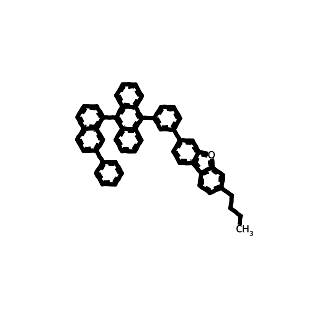 CCCCc1ccc2c(c1)oc1cc(-c3cccc(-c4c5ccccc5c(-c5cccc6ccc(-c7ccccc7)cc56)c5ccccc45)c3)ccc12